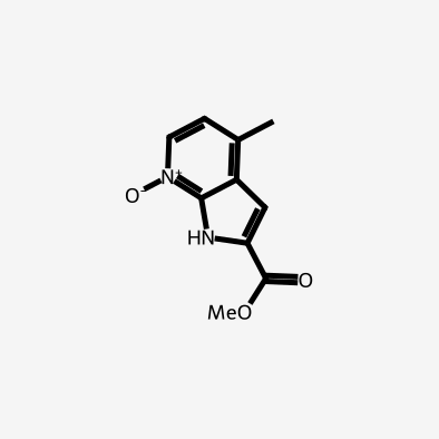 COC(=O)c1cc2c(C)cc[n+]([O-])c2[nH]1